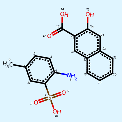 Cc1ccc(N)c(S(=O)(=O)O)c1.O=C(O)c1cc2ccccc2cc1O